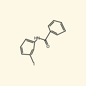 O=C(Nc1cccc(I)c1)c1ccccc1